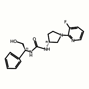 O=C(N[C@@H]1CCN(c2ncccc2F)C1)N[C@H](CO)c1ccccc1